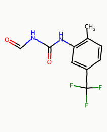 Cc1ccc(C(F)(F)F)cc1NC(=O)NC=O